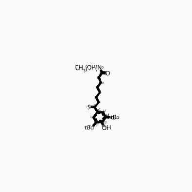 CN(O)C(=O)CCCCCCC([S])c1cc(C(C)(C)C)c(O)c(C(C)(C)C)c1